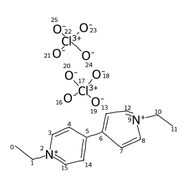 CC[n+]1ccc(-c2cc[n+](CC)cc2)cc1.[O-][Cl+3]([O-])([O-])[O-].[O-][Cl+3]([O-])([O-])[O-]